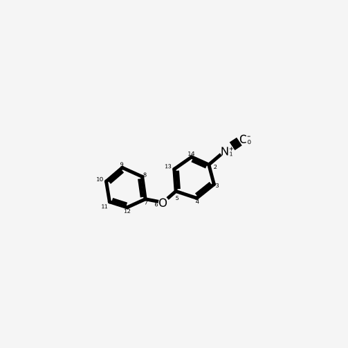 [C-]#[N+]c1ccc(Oc2ccccc2)cc1